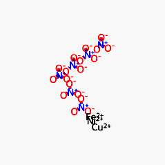 O=[N+]([O-])[O-].O=[N+]([O-])[O-].O=[N+]([O-])[O-].O=[N+]([O-])[O-].O=[N+]([O-])[O-].O=[N+]([O-])[O-].[Cu+2].[Fe+2].[Ni+2]